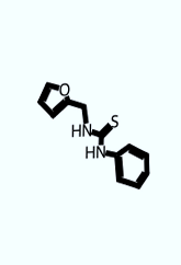 S=C(NCc1ccco1)Nc1ccccc1